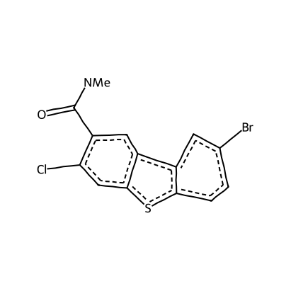 CNC(=O)c1cc2c(cc1Cl)sc1ccc(Br)cc12